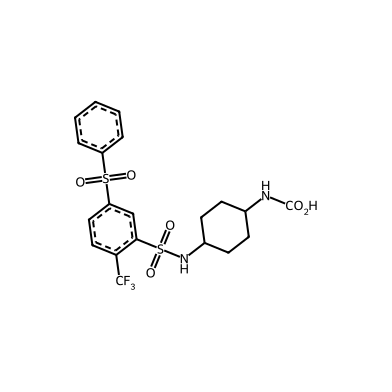 O=C(O)NC1CCC(NS(=O)(=O)c2cc(S(=O)(=O)c3ccccc3)ccc2C(F)(F)F)CC1